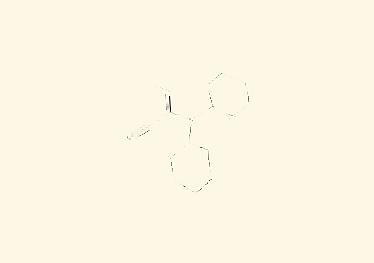 CC=C(C#N)N(C1CCCCC1)C1CCCCC1